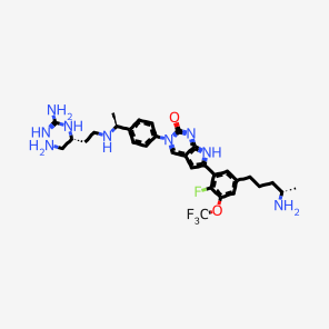 C[C@H](N)CCCc1cc(OC(F)(F)F)c(F)c(-c2cc3cn(-c4ccc([C@H](C)NCC[C@H](CN)NC(=N)N)cc4)c(=O)nc3[nH]2)c1